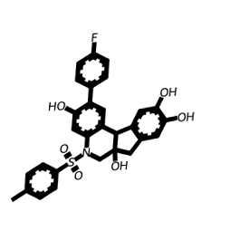 Cc1ccc(S(=O)(=O)N2CC3(O)Cc4cc(O)c(O)cc4C3c3cc(-c4ccc(F)cc4)c(O)cc32)cc1